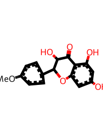 COc1ccc(C2Oc3cc(O)cc(O)c3C(=O)C2O)cc1